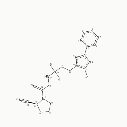 Cc1nc(-c2cnccn2)nn1CCC(C)(C)NCC(=O)N1CCC[C@H]1C#N